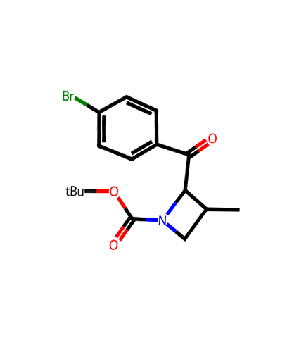 CC1CN(C(=O)OC(C)(C)C)C1C(=O)c1ccc(Br)cc1